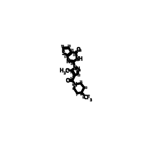 Cc1c(C(=O)N2CCC(C(F)(F)F)CC2)cnn1-c1nc2sccc2c(=O)[nH]1